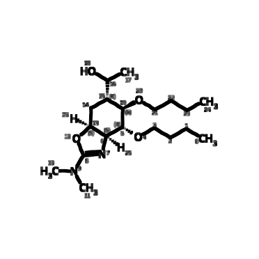 CCCCO[C@@H]1[C@H]2N=C(N(C)C)O[C@H]2C[C@H](C(C)O)[C@H]1OCCCC